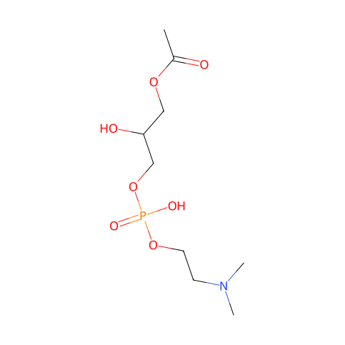 CC(=O)OCC(O)COP(=O)(O)OCCN(C)C